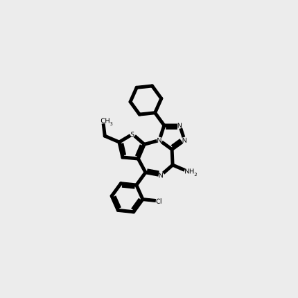 CCc1cc2c(s1)-n1c(C3CCCCC3)nnc1C(N)N=C2c1ccccc1Cl